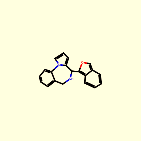 c1ccc2c(c1)CNC(c1occ3ccccc13)c1cccn1-2